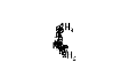 CC1OC(Cn2cnc(-c3cc4nccc(Oc5ccc(N)cc5F)c4s3)c2)O1